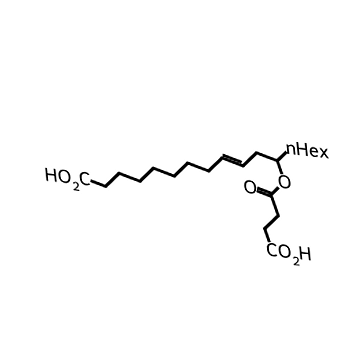 CCCCCCC(CC=CCCCCCCCC(=O)O)OC(=O)CCC(=O)O